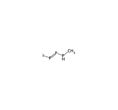 CPP=PI